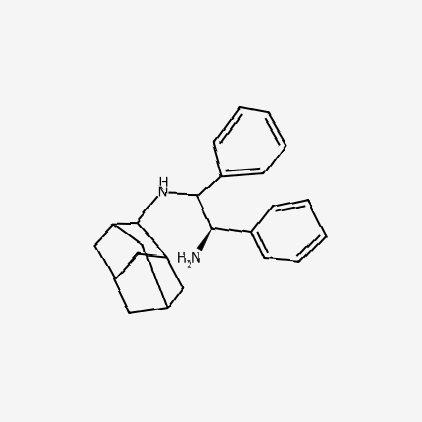 N[C@H](c1ccccc1)C(NC1C2CC3CC(C2)CC1C3)c1ccccc1